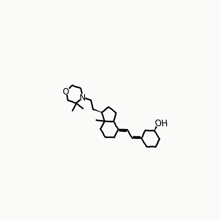 CC12CCC/C(=C\C=C3\CCC[C@H](O)C3)C1CC[C@@H]2CCN1CCOCC1(C)C